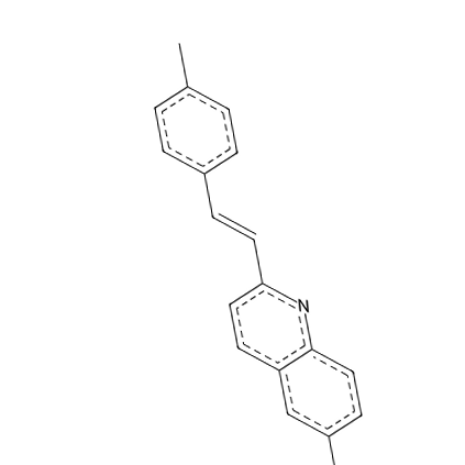 Cc1ccc(/C=C/c2ccc3cc(C)ccc3n2)cc1